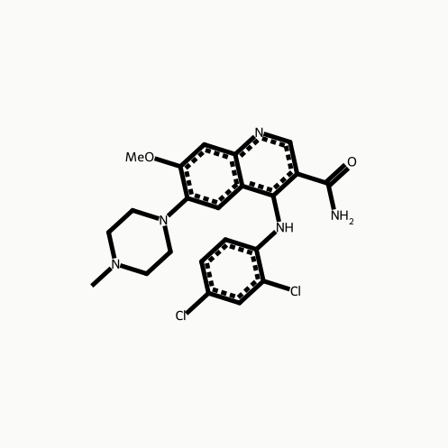 COc1cc2ncc(C(N)=O)c(Nc3ccc(Cl)cc3Cl)c2cc1N1CCN(C)CC1